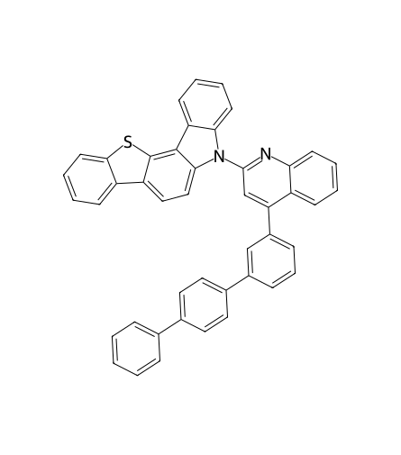 c1ccc(-c2ccc(-c3cccc(-c4cc(-n5c6ccccc6c6c7sc8ccccc8c7ccc65)nc5ccccc45)c3)cc2)cc1